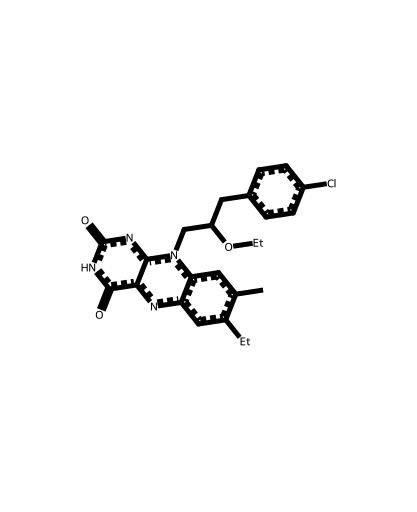 CCOC(Cc1ccc(Cl)cc1)Cn1c2nc(=O)[nH]c(=O)c-2nc2cc(CC)c(C)cc21